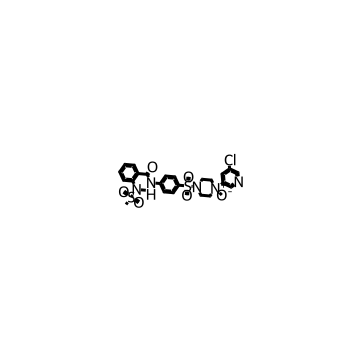 CN(c1ccccc1C(=O)Nc1ccc(S(=O)(=O)N2CC[N+]([O-])(c3cncc(Cl)c3)CC2)cc1)S(C)(=O)=O